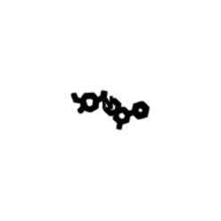 C=C(C1=CCC(C)=C(CC)C=C1)N1CCC2(CC1)CC(C)CC(c1ccccc1)C2